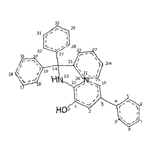 Oc1cc(-c2ccccc2)cnc1NC(c1ccccc1)(c1ccccc1)c1ccccc1